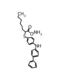 CCCCCCC(Sc1ccc(Nc2ccc(-c3ccccc3)cc2)cc1)C(=O)ON